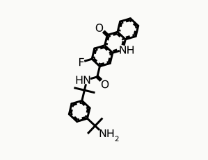 CC(C)(N)c1cccc(C(C)(C)NC(=O)c2cc3[nH]c4ccccc4c(=O)c3cc2F)c1